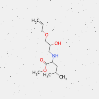 C=CCOCC(O)CNC(CC(C)C)C(=O)OC